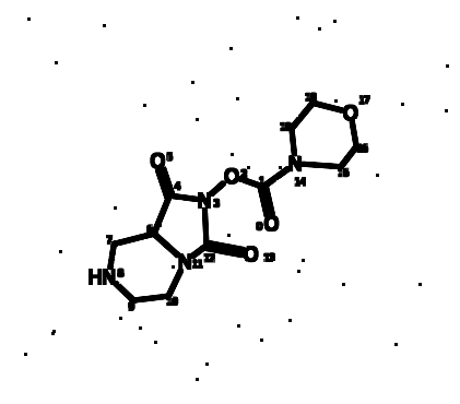 O=C(ON1C(=O)C2CNCCN2C1=O)N1CCOCC1